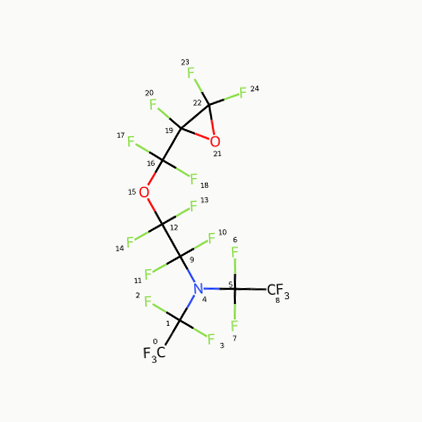 FC(F)(F)C(F)(F)N(C(F)(F)C(F)(F)F)C(F)(F)C(F)(F)OC(F)(F)C1(F)OC1(F)F